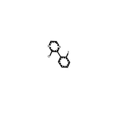 Fc1ccccc1-c1nccnc1Cl